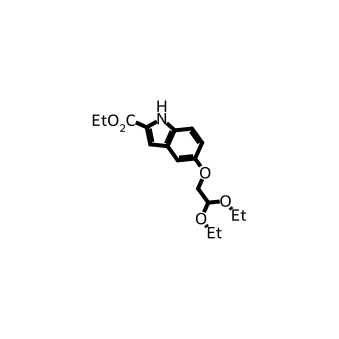 CCOC(=O)c1cc2cc(OCC(OCC)OCC)ccc2[nH]1